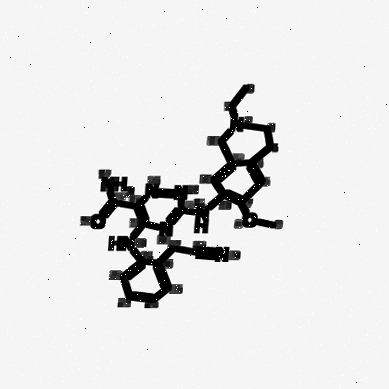 CCN1CCc2cc(OC)c(Nc3nnc(C(N)=O)c(Nc4ccccc4CC#N)n3)cc2C1